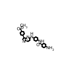 COC(=O)c1ccc(-c2cnn3ccc(Nc4ccc(NC(=O)c5ccc(N)cc5)cc4)nc23)cc1